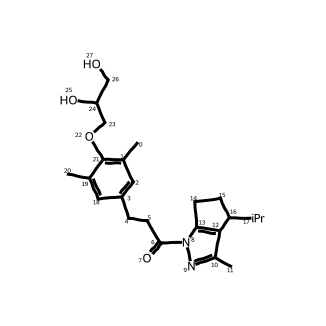 Cc1cc(CCC(=O)n2nc(C)c3c2CCC3C(C)C)cc(C)c1OCC(O)CO